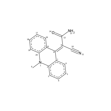 CN1c2ccccc2C(=C(C#N)C(N)=O)c2ccccc21